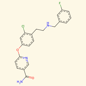 NC(=O)c1ccc(Oc2ccc(CCNCc3cccc(F)c3)c(Cl)c2)nc1